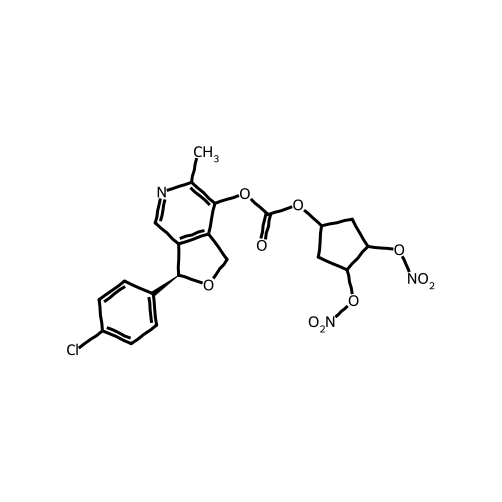 Cc1ncc2c(c1OC(=O)OC1CC(O[N+](=O)[O-])C(O[N+](=O)[O-])C1)CO[C@H]2c1ccc(Cl)cc1